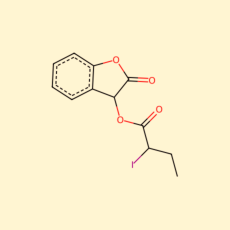 CCC(I)C(=O)OC1C(=O)Oc2ccccc21